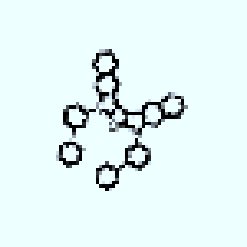 c1ccc(-c2cccc(-n3c4cc5ccccc5cc4c4c5c6cc7ccccc7cc6n(-c6cccc(-c7ccccc7)c6)c5oc43)c2)cc1